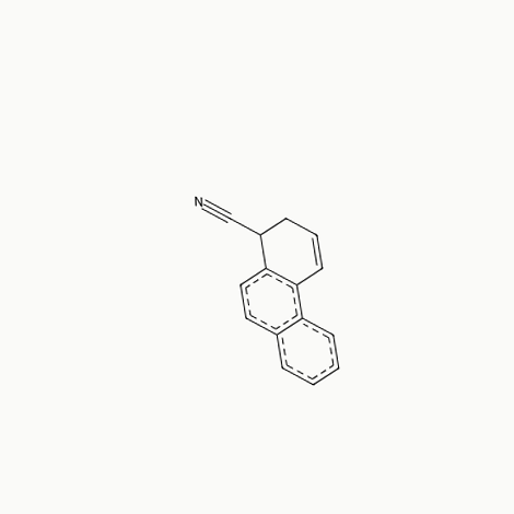 N#CC1CC=Cc2c1ccc1ccccc21